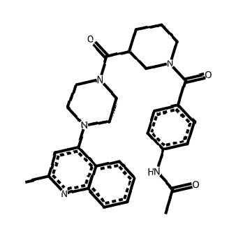 CC(=O)Nc1ccc(C(=O)N2CCCC(C(=O)N3CCN(c4cc(C)nc5ccccc45)CC3)C2)cc1